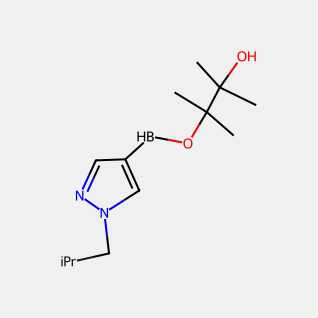 CC(C)Cn1cc(BOC(C)(C)C(C)(C)O)cn1